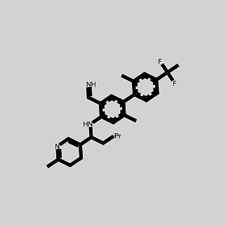 CC1=NC=C(C(CC(C)C)Nc2cc(C)c(-c3ccc(C(C)(F)F)cc3C)cc2C=N)CC1